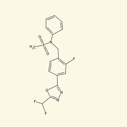 CS(=O)(=O)N(Cc1ccc(-c2nnc(C(F)F)o2)cc1F)c1ccccc1